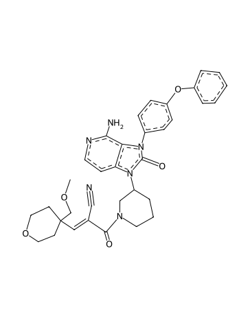 COCC1(C=C(C#N)C(=O)N2CCCC(n3c(=O)n(-c4ccc(Oc5ccccc5)cc4)c4c(N)nccc43)C2)CCOCC1